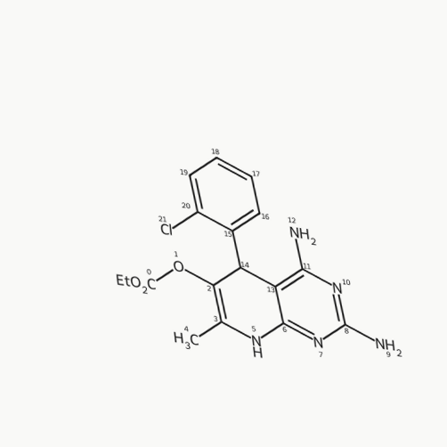 CCOC(=O)OC1=C(C)Nc2nc(N)nc(N)c2C1c1ccccc1Cl